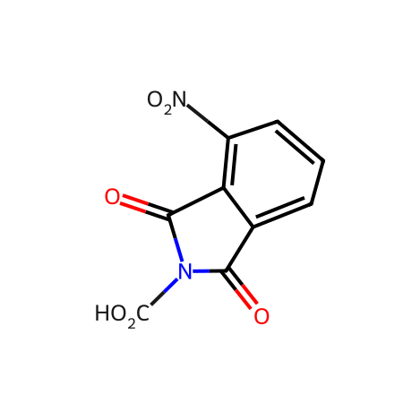 O=C(O)N1C(=O)c2cccc([N+](=O)[O-])c2C1=O